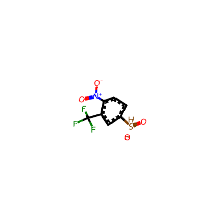 O=[N+]([O-])c1ccc([SH](=O)=O)cc1C(F)(F)F